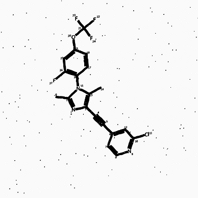 Cc1nc(C#Cc2ccnc(Cl)c2)c(C)n1-c1ccc(OC(F)(F)F)cc1F